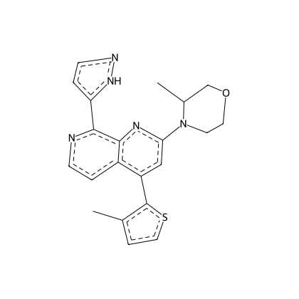 Cc1ccsc1-c1cc(N2CCOCC2C)nc2c(-c3ccn[nH]3)nccc12